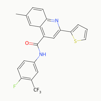 Cc1ccc2nc(-c3cccs3)cc(C(=O)Nc3ccc(F)c(C(F)(F)F)c3)c2c1